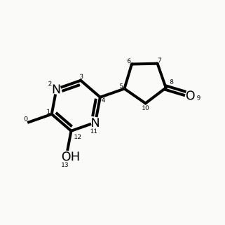 Cc1ncc(C2CCC(=O)C2)nc1O